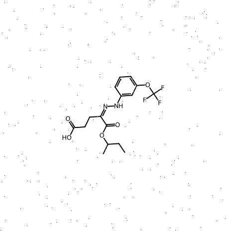 CCC(C)OC(=O)C(CCC(=O)O)=NNc1cccc(OC(F)(F)F)c1